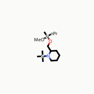 CCC[Si](C)(OC)OCC1CCCCN1[Si](C)(C)C